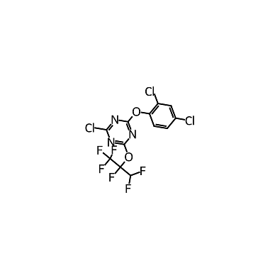 FC(F)C(F)(Oc1nc(Cl)nc(Oc2ccc(Cl)cc2Cl)n1)C(F)(F)F